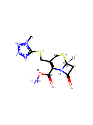 Cn1nnnc1SCC1=C(C(=O)ON)N2C(=O)C[C@@H]2SC1